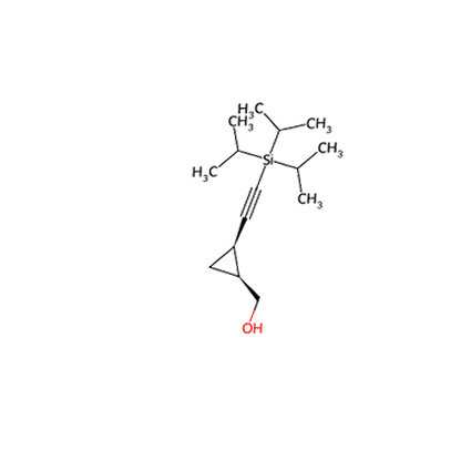 CC(C)[Si](C#C[C@@H]1C[C@@H]1CO)(C(C)C)C(C)C